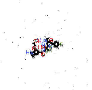 C[C@@]1(N)COc2c1cc(C(O)(CNC(=O)c1cc(OCCO)c3[nH]ccc3c1)C(F)(F)F)nc2-c1ccc(F)cc1